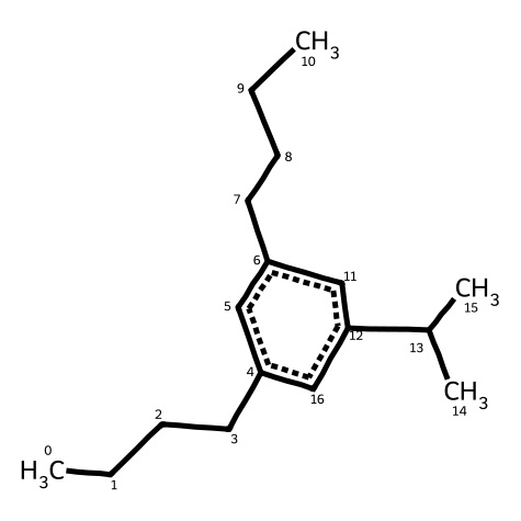 CCCCc1cc(CCCC)cc(C(C)C)c1